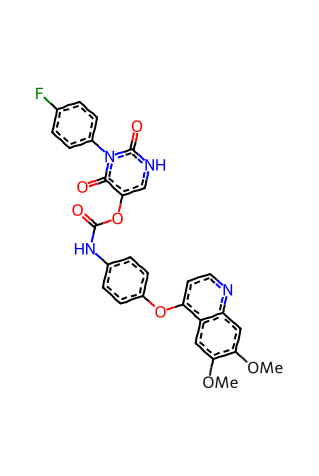 COc1cc2nccc(Oc3ccc(NC(=O)Oc4c[nH]c(=O)n(-c5ccc(F)cc5)c4=O)cc3)c2cc1OC